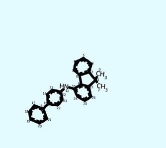 CC1(C)c2ccccc2-c2c(Nc3ccc(-c4ccccc4)cc3)cccc21